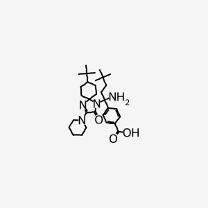 CC(C)(C)CC[C@](N)(c1ccc(C(=O)O)cc1)N1C(=O)C(N2CCCCC2)=NC12CCC(C(C)(C)C)CC2